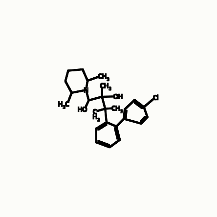 CC1CCCC(C)N1C(O)C(C)(O)C(C)(C)c1ccccc1-c1ccc(Cl)cc1